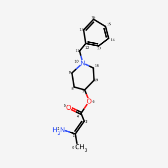 CC(N)=CC(=O)OC1CCN(Cc2ccccc2)CC1